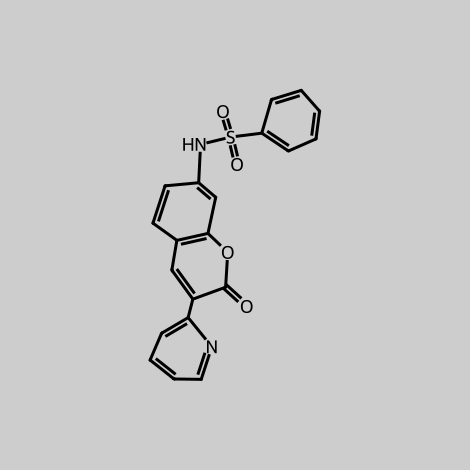 O=c1oc2cc(NS(=O)(=O)c3ccccc3)ccc2cc1-c1ccccn1